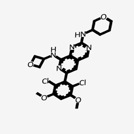 COc1cc(OC)c(Cl)c(-c2cc3cnc(NC4CCCOC4)nc3c(NC3COC3)n2)c1Cl